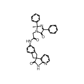 C[C@@]1(c2ccccc2)N=C(c2ccccc2)C(=O)N1CC(=O)Nc1ccc2c(c1)CC1(C2)C(=O)Nc2ncccc21